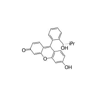 CC(C)[C@H](O)c1ccccc1-c1c2ccc(=O)cc-2oc2cc(O)ccc12